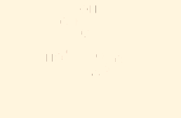 Cc1ccc(S(=O)(=O)OCC(OCO)[C@H](O)C(C)O)cc1